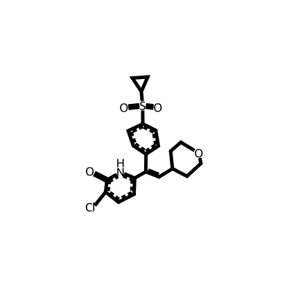 O=c1[nH]c(C(=CC2CCOCC2)c2ccc(S(=O)(=O)C3CC3)cc2)ccc1Cl